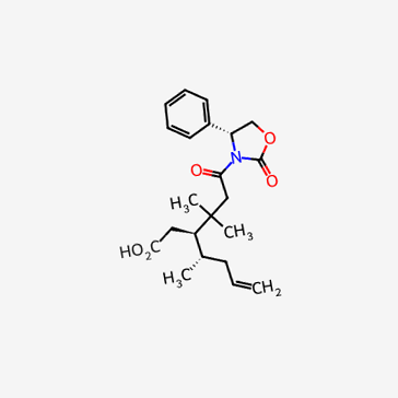 C=CC[C@H](C)[C@@H](CC(=O)O)C(C)(C)CC(=O)N1C(=O)OC[C@H]1c1ccccc1